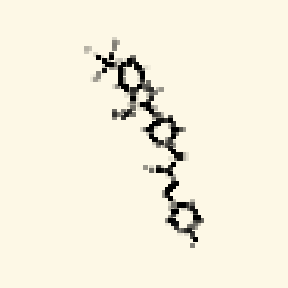 O=C(C=Cc1ccc(F)cc1)Nc1ccc(-c2nc3ccc(C(F)(F)F)cc3n2O)cc1